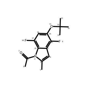 CC(=O)n1c(C)cc2c(F)c(OC(C)(C)C)cc(F)c21